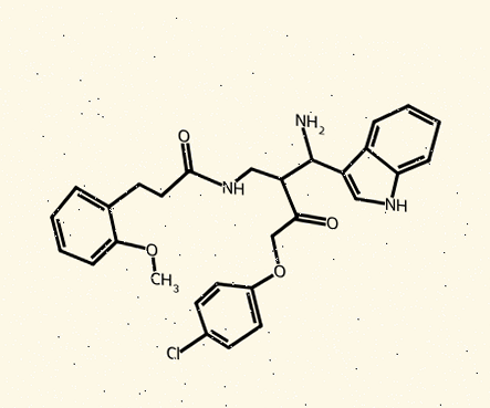 COc1ccccc1CCC(=O)NCC(C(=O)COc1ccc(Cl)cc1)C(N)c1c[nH]c2ccccc12